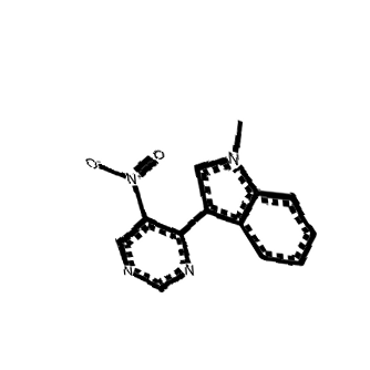 Cn1cc(-c2ncncc2[N+](=O)[O-])c2ccccc21